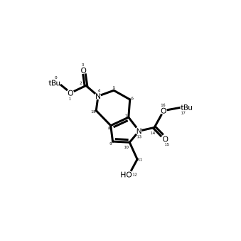 CC(C)(C)OC(=O)N1CCc2c(cc(CO)n2C(=O)OC(C)(C)C)C1